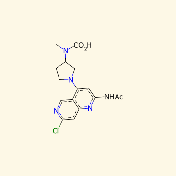 CC(=O)Nc1cc(N2CCC(N(C)C(=O)O)C2)c2cnc(Cl)cc2n1